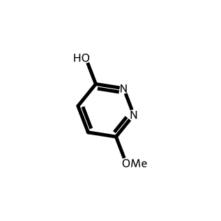 COc1ccc(O)nn1